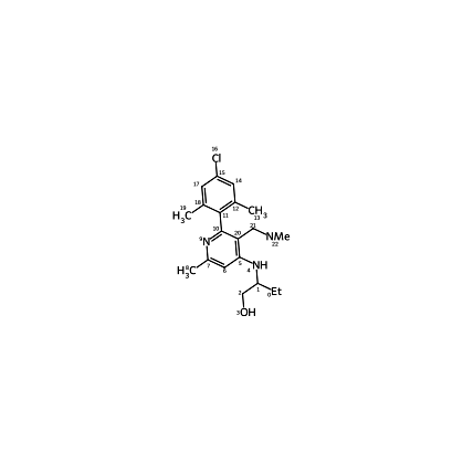 CCC(CO)Nc1cc(C)nc(-c2c(C)cc(Cl)cc2C)c1CNC